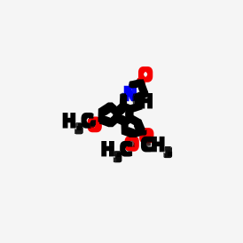 COc1ccc2c3c(c4cc(OC)c(OC)cc4c2c1)C[C@H]1CC(=O)CN1C3